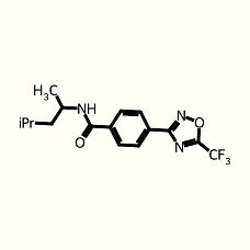 CC(C)CC(C)NC(=O)c1ccc(-c2noc(C(F)(F)F)n2)cc1